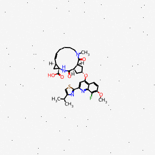 COc1ccc2c(O[C@@H]3C[C@H]4C(=O)N[C@]5(C(=O)O)C[C@H]5/C=C\CCCCN(C)C(=O)[C@@H]4C3)cc(-c3nc(C(C)C)cs3)nc2c1F